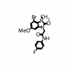 COc1cc(Br)c2c(c1)n(CC(=O)Nc1ccc(F)cc1)c(=O)n2C